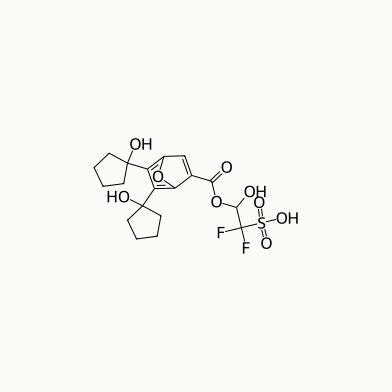 O=C(OC(O)C(F)(F)S(=O)(=O)O)c1cc2oc1c(C1(O)CCCC1)c2C1(O)CCCC1